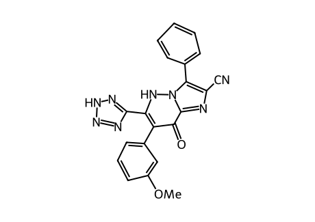 COc1cccc(-c2c(-c3nn[nH]n3)[nH]n3c(-c4ccccc4)c(C#N)nc3c2=O)c1